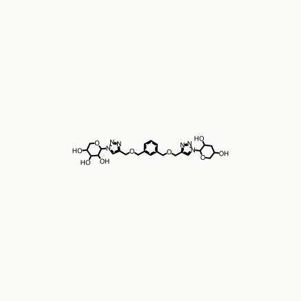 OC1COC(n2cc(COCc3cccc(COCc4cn(C5OCC(O)C(O)C5O)nn4)c3)nn2)C(O)C1